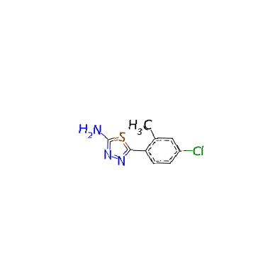 Cc1cc(Cl)ccc1-c1nnc(N)s1